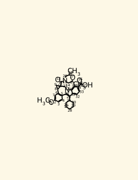 COc1ccc2c(c1)C1CC1(C(=O)N1C[C@@H](C)O[C@@H](C)C1)Cn1c-2c(C2CCCCC2)c2ccc(C(=O)O)cc21